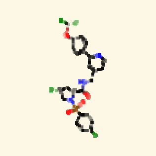 O=C(NCc1ccnc(-c2ccc(OC(F)F)cc2)c1)[C@@H]1C[C@@H](F)CN1S(=O)(=O)c1ccc(F)cc1